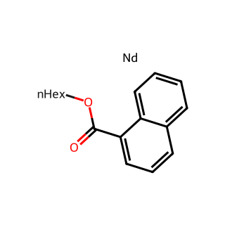 CCCCCCOC(=O)c1cccc2ccccc12.[Nd]